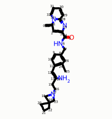 C=C1C=C(C(=O)NCc2ccc(/C=C(\N)CCN3CC4(CCC4)C3)c(C)c2)N=C2C=CC=CN12